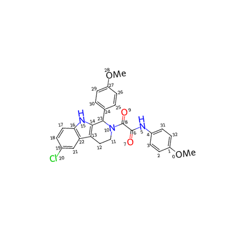 COc1ccc(NC(=O)C(=O)N2CCc3c([nH]c4ccc(Cl)cc34)C2c2ccc(OC)cc2)cc1